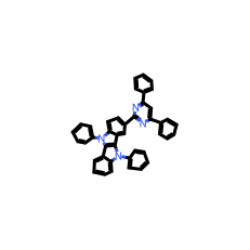 c1ccc(-c2cc(-c3ccccc3)nc(-c3ccc4c(c3)c3c(c5ccccc5n3-c3ccccc3)n4-c3ccccc3)n2)cc1